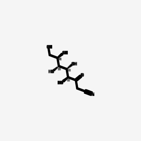 N#CCC(=O)[C@@H](O)[C@@H](O)[C@H](O)[C@H](O)CO